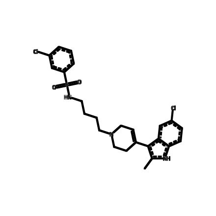 Cc1[nH]c2ccc(Cl)cc2c1C1=CCN(CCCCNS(=O)(=O)c2cccc(Cl)c2)CC1